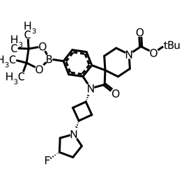 CC(C)(C)OC(=O)N1CCC2(CC1)C(=O)N([C@H]1C[C@@H](N3CC[C@H](F)C3)C1)c1cc(B3OC(C)(C)C(C)(C)O3)ccc12